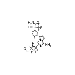 Cc1ccc(C(O)(C(N)=O)C(F)(F)F)cc1-c1cnc2c(N)nc(C(=O)NC3(C(F)(F)F)CCOCC3)cn12